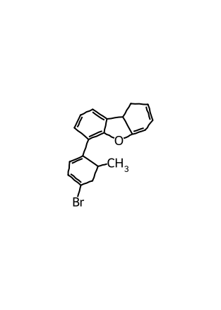 CC1CC(Br)=CC=C1c1cccc2c1OC1=CC=CCC12